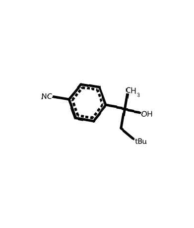 CC(C)(C)CC(C)(O)c1ccc(C#N)cc1